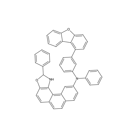 c1ccc(C2Nc3c(ccc4ccc5ccc(N(c6ccccc6)c6cccc(-c7cccc8oc9ccccc9c78)c6)cc5c34)O2)cc1